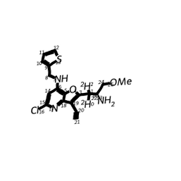 [2H]C([2H])(c1oc2c(NCc3cccs3)cc(Cl)nc2c1C#C)[C@@H](N)COC